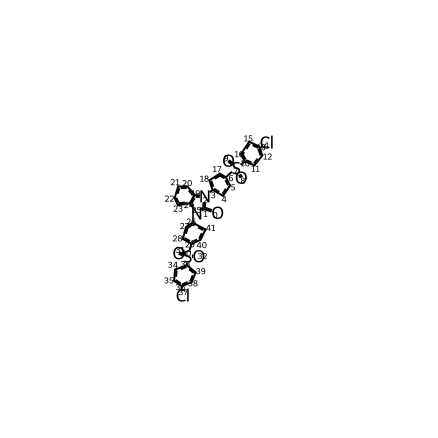 O=c1n(-c2ccc(S(=O)(=O)c3ccc(Cl)cc3)cc2)c2ccccc2n1-c1ccc(S(=O)(=O)c2ccc(Cl)cc2)cc1